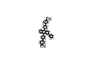 N#Cc1ccc(-c2ccc(-c3c4ccccc4c(-c4ccc(-c5ccc(C#N)cn5)cc4)c4cc(-c5ccccc5)ccc34)cc2)nc1